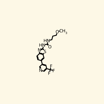 COCCCNC(=O)Nc1nc2ccc(-c3cncc(C(F)(F)F)c3)cc2s1